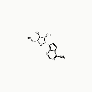 Nc1ncnc2c([C@@H]3O[C@H](CO)[C@@H](O)[C@H]3O)ccn12